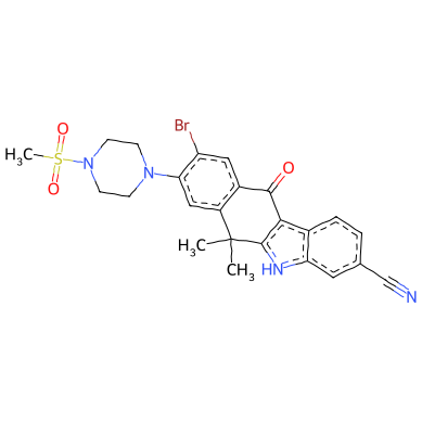 CC1(C)c2cc(N3CCN(S(C)(=O)=O)CC3)c(Br)cc2C(=O)c2c1[nH]c1cc(C#N)ccc21